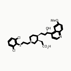 COc1ccc2nccc([C@@H](O)CC[C@@H]3CCN(CCSc4c(Cl)cccc4Cl)C[C@@H]3CC(=O)O)c2c1